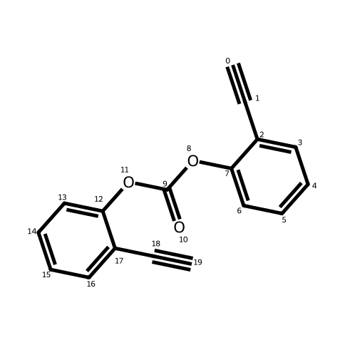 C#Cc1ccccc1OC(=O)Oc1ccccc1C#C